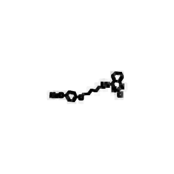 COc1ccc(OCCCCCCNc2nc(Cl)nc3ccccc23)cc1